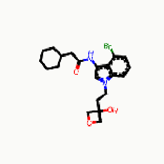 O=C(CC1CCCCC1)Nc1cn(CCC2(O)COC2)c2cccc(Br)c12